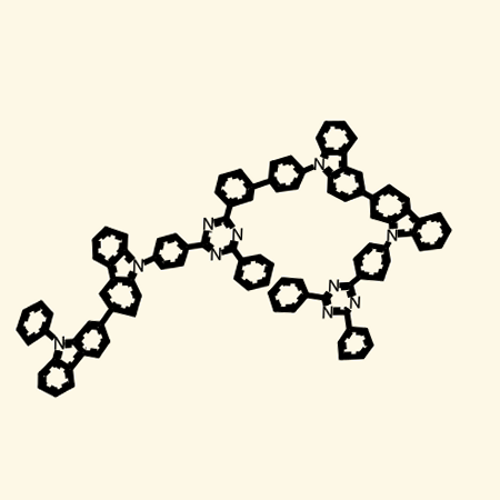 c1ccc(-c2nc(-c3ccccc3)nc(-c3ccc(-n4c5ccccc5c5ccc(-c6ccc7c(c6)c6ccccc6n7-c6ccc(-c7cccc(-c8nc(-c9ccccc9)nc(-c9ccc(-n%10c%11ccccc%11c%11cc(-c%12ccc%13c%14ccccc%14n(-c%14ccccc%14)c%13c%12)ccc%11%10)cc9)n8)c7)cc6)cc54)cc3)n2)cc1